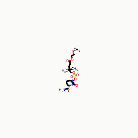 COCCOC(=O)CCC(C)(C)COS(=O)(=O)ON1C(=O)N2CC1CC[C@H]2C(N)=O